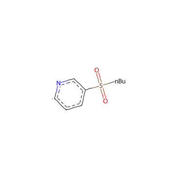 CCCCS(=O)(=O)c1cc[c]nc1